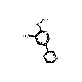 CCCNc1ncc(-c2cccnc2)cc1N